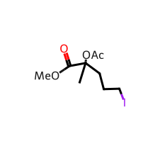 COC(=O)C(C)(CCCI)OC(C)=O